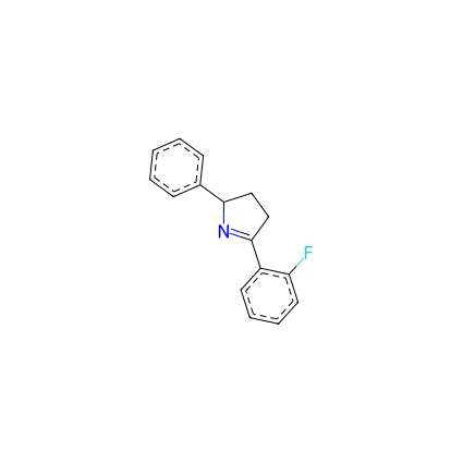 Fc1ccccc1C1=NC(c2ccccc2)CC1